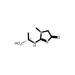 C[C@H](NC1=NC(=O)CN1C)C(=O)O